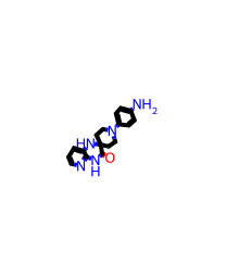 Nc1ccc(N2CCC3(CC2)Nc2cccnc2NC3=O)cc1